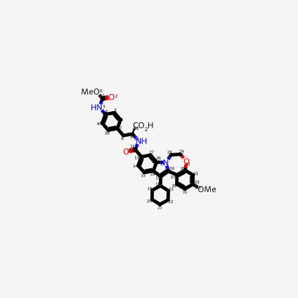 COC(=O)Nc1ccc(C[C@H](NC(=O)c2ccc3c(C4CCCCC4)c4n(c3c2)CCOc2cc(OC)ccc2-4)C(=O)O)cc1